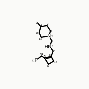 CC1CCN(CNCC2=C(CF)CC2)CC1